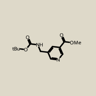 COC(=O)c1cncc(CNC(=O)OC(C)(C)C)c1